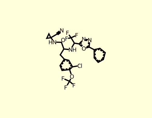 N#CC1(NC(=O)C(Cc2ccc(OC(F)(F)F)c(Cl)c2)NC(c2nnc(-c3ccccc3)o2)C(F)(F)F)CC1